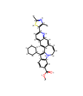 COC(=O)c1ccc2c(C3CCCCC3)c3n(c2c1)CC=Cc1cc2nc(-c4sc(C)nc4C)ccc2cc1-3